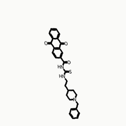 O=C(NC(=S)NCCC1CCN(Cc2ccccc2)CC1)c1ccc2c(c1)C(=O)c1ccccc1C2=O